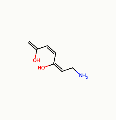 C=C(O)/C=C\C(O)=C/CN